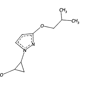 CC(C)COc1ccn(C2CC2O)n1